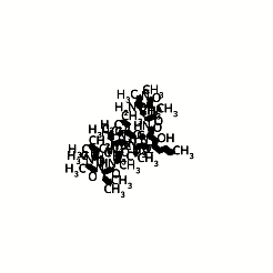 C=C(C)[C@@H](C)C(=O)N(C)[C@@H](C)C(=O)N[C@H](CC(C)C)C(=O)N[C@@H](C)C(=O)N(C)[C@H](CC(C)C)C(=O)N(C)[C@H](CC(C)C)C(=O)N(C)[C@@H](C(=O)N(C)C(C(=O)N[C@H](CC)C(=O)N(C)CC(=O)N(C)[C@@H](C)C(N)=O)[C@@H](O)[C@H](C)C/C=C/C)C(C)C